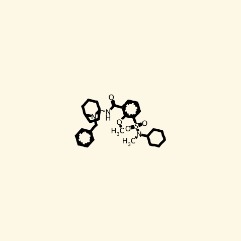 COc1c(C(=O)N[C@]23CCCC(CC2)N3Cc2ccccc2)cccc1S(=O)(=O)N(C)C1CCCCC1